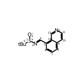 CC(C)(C)[S@@+]([O-])N=Cc1cccc2ccncc12